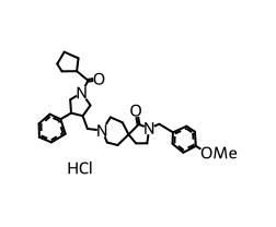 COc1ccc(CN2CCC3(CCN(CC4CN(C(=O)C5CCCC5)CC4c4ccccc4)CC3)C2=O)cc1.Cl